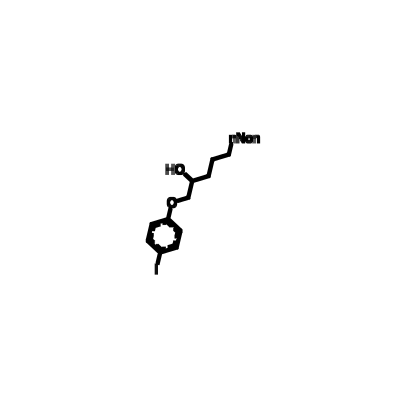 CCCCCCCCCCCCC(O)COc1ccc(I)cc1